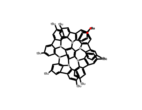 CC(C)(C)c1ccc2c(c1)c1cc(C(C)(C)C)ccc1n2-c1c(-n2c3ccc(C(C)(C)C)cc3c3cc(C(C)(C)C)ccc32)c2c3c(c1-n1c4ccc(C(C)(C)C)cc4c4cc(C(C)(C)C)ccc41)-n1c4ccc(C(C)(C)C)cc4c4cc(C(C)(C)C)cc(c41)B3c1cc(C(C)(C)C)cc3c4cc(C(C)(C)C)ccc4n-2c13